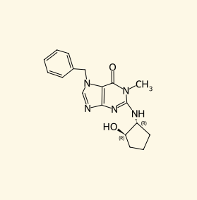 Cn1c(N[C@@H]2CCC[C@H]2O)nc2ncn(Cc3ccccc3)c2c1=O